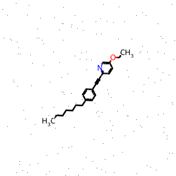 CCCCCCCc1ccc(C#Cc2ccc(OCC)cn2)cc1